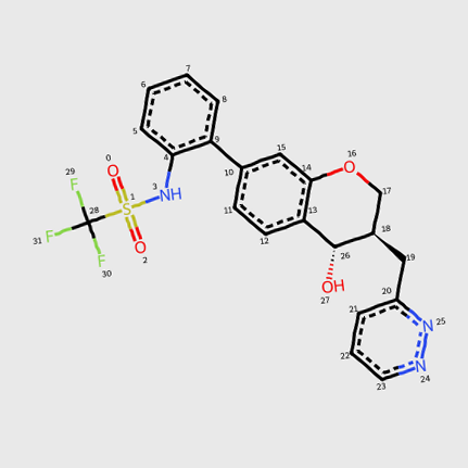 O=S(=O)(Nc1ccccc1-c1ccc2c(c1)OC[C@@H](Cc1cccnn1)[C@@H]2O)C(F)(F)F